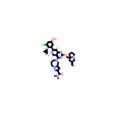 C[C@@H]1C[C@@H]1c1c(Cl)cc(O)cc1-c1ncc2c(N3CCCn4nc(C(=O)N(C)C)cc4C3)nc(OCC34CCCN3C/C(=C\F)C4)nc2c1F